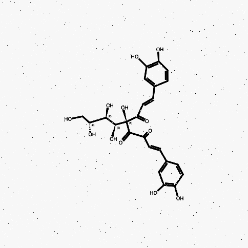 O=C(C=Cc1ccc(O)c(O)c1)C(=O)[C@@](O)(C(=O)C=Cc1ccc(O)c(O)c1)[C@@H](O)[C@H](O)[C@H](O)CO